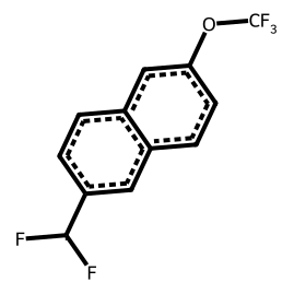 F[C](F)c1ccc2cc(OC(F)(F)F)ccc2c1